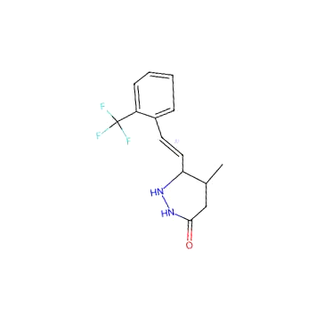 CC1CC(=O)NNC1/C=C/c1ccccc1C(F)(F)F